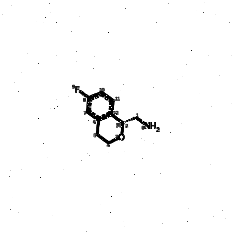 NC[C@@H]1OCCc2cc(F)ccc21